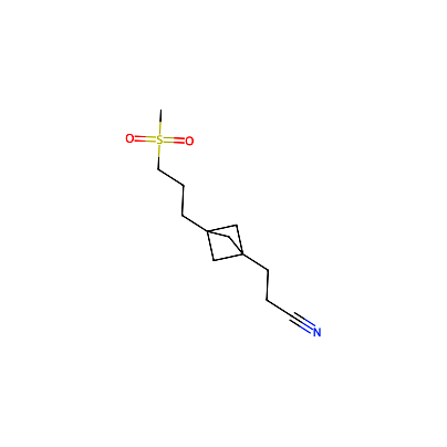 CS(=O)(=O)CCCC12CC(CCC#N)(C1)C2